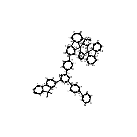 CC1(C)c2ccccc2-c2ccc(-c3nc(-c4ccc(-c5ccccc5)cc4)cc(-c4ccc(-c5ccc6c(c5)C5(c7ccccc7-6)c6ccccc6C6(c7ccccc7-c7ccccc76)c6ccccc65)cc4)n3)cc21